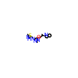 Cc1nc(NCc2cnc(C)s2)cc(OCC2CC2c2ccc3ccccc3n2)n1